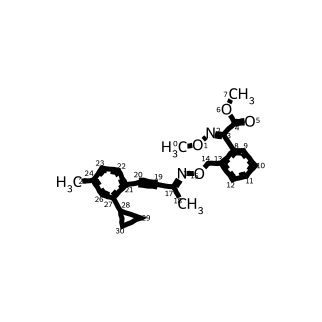 CO/N=C(/C(=O)OC)c1ccccc1CO/N=C(\C)C#Cc1ccc(C)cc1C1CC1